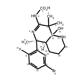 CC1(C)C(NC(=O)O)=N[C@](C)(c2nc(Br)ccc2F)[C@@H]2CCCNS21O